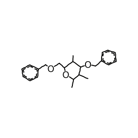 CC1OC(COCc2ccccc2)C(C)C(OCc2ccccc2)C1C